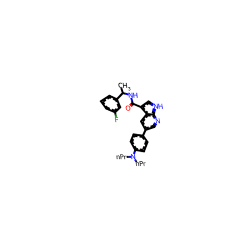 CCCN(CCC)c1ccc(-c2cnc3[nH]cc(C(=O)NC(C)c4cccc(F)c4)c3c2)cc1